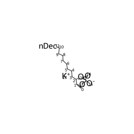 C=CC(CCCCCCCCCCCCCCCCCC)OS(=O)(=O)[O-].[K+]